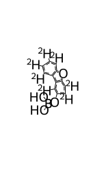 [2H]c1c([2H])c([2H])c2c(oc3c([2H])c([2H])c(OB(O)O)c([2H])c32)c1[2H]